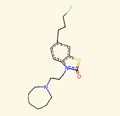 O=c1sc2cc(CCCF)ccc2n1CCN1CCCCCC1